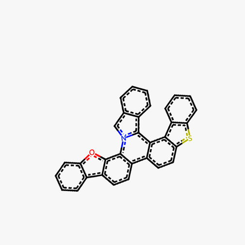 c1ccc2c(c1)cn1c3c(ccc4c5ccccc5oc43)c3ccc4sc5ccccc5c4c3c21